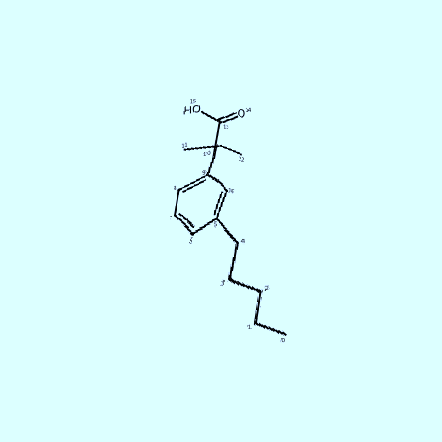 CCCCCc1cccc(C(C)(C)C(=O)O)c1